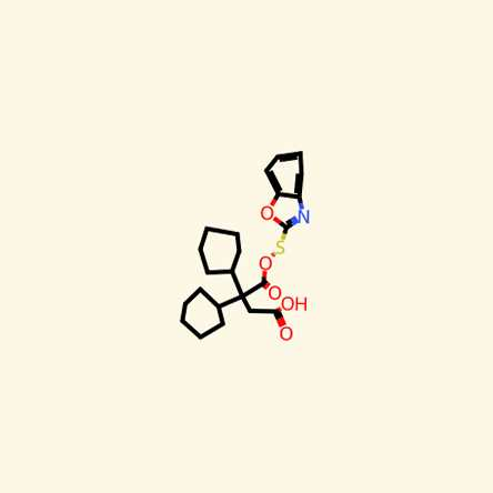 O=C(O)CC(C(=O)OSc1nc2ccccc2o1)(C1CCCCC1)C1CCCCC1